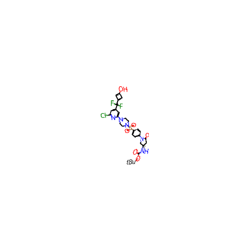 CC(C)(C)OC(=O)N[C@@H]1CC(=O)N(c2ccc(S(=O)(=O)N3CCN(c4cc(C(F)(F)C5CC(O)C5)cc(Cl)n4)CC3)cc2)C1